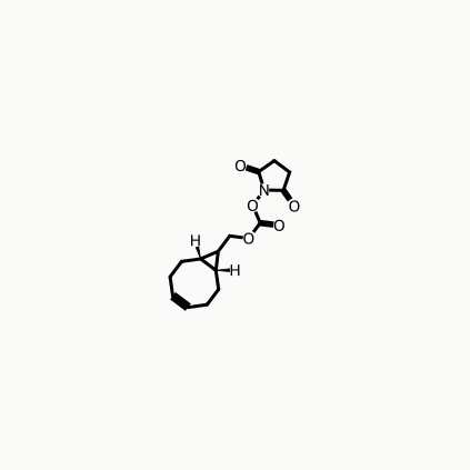 O=C(OCC1[C@H]2CCC#CCC[C@@H]12)ON1C(=O)CCC1=O